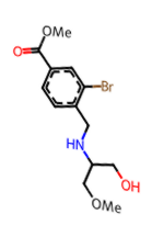 COCC(CO)NCc1ccc(C(=O)OC)cc1Br